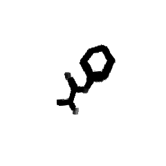 CC(Cl)C(=O)OC1CCCCC1